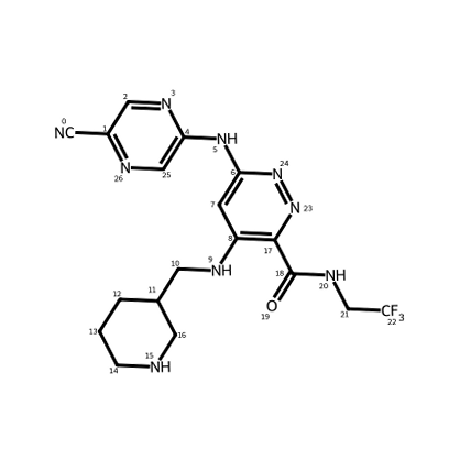 N#Cc1cnc(Nc2cc(NCC3CCCNC3)c(C(=O)NCC(F)(F)F)nn2)cn1